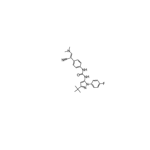 CN(C)C=C(C#N)c1ccc(NC(=O)Nc2cc(C(C)(C)C)nn2-c2ccc(F)cc2)cc1